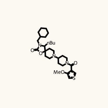 CCCCC1N(CC2CCCCC2)C(=O)OC12CCN(C1CCN(C(=O)c3cscc3OC)CC1)CC2